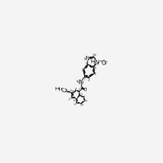 O=C(Nc1ccc2c(c1)N=C[NH+]2[O-])c1cc(O)cc2ccccc12